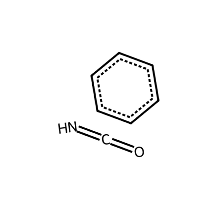 N=C=O.c1ccccc1